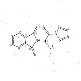 CN(C(=O)n1ccnc1)N1C(=O)c2ccccc2C1=O